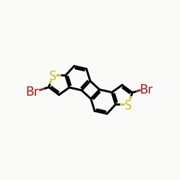 Brc1cc2c3c(ccc2s1)-c1c-3ccc2sc(Br)cc12